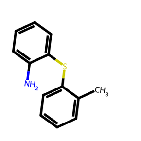 Cc1ccccc1Sc1ccccc1N